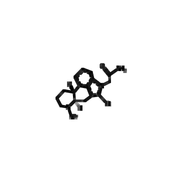 CCCN1CCC[C@@H]2c3cccc4c3c(c(CC)n4CC(N)=O)C[C@H]21